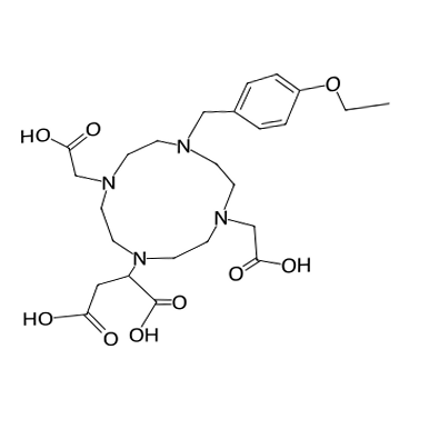 CCOc1ccc(CN2CCN(CC(=O)O)CCN(C(CC(=O)O)C(=O)O)CCN(CC(=O)O)CC2)cc1